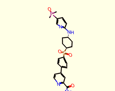 CP(C)(=O)c1ccc(N[C@H]2CC[C@H](S(=O)(=O)c3ccc(-c4ccnc(C(N)=O)c4)cc3)CC2)nc1